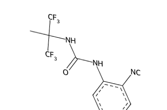 [C-]#[N+]c1ccccc1NC(=O)NC(C)(C(F)(F)F)C(F)(F)F